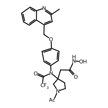 CC(=O)N1CCC(CC(=O)NO)(N(C(=O)C(F)(F)F)c2ccc(OCc3cc(C)nc4ccccc34)cc2)C1